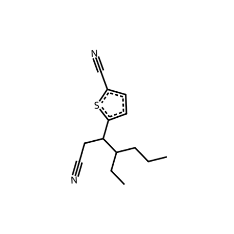 CCCC(CC)C(CC#N)c1ccc(C#N)s1